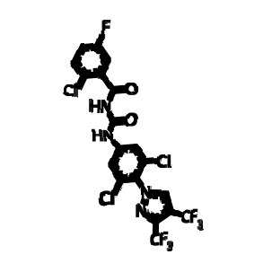 O=C(NC(=O)c1cc(F)ccc1Cl)Nc1cc(Cl)c(-n2cc(C(F)(F)F)c(C(F)(F)F)n2)c(Cl)c1